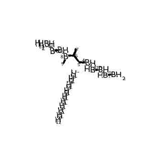 BBBBBCC(C)B(C)BBB.[H-].[H-].[H-].[H-].[H-].[H-].[H-].[H-].[H-].[H-].[H-]